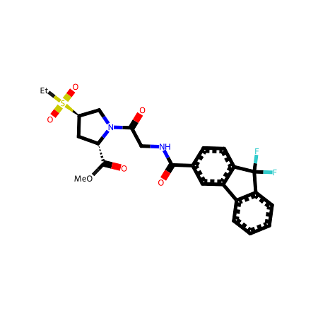 CCS(=O)(=O)[C@@H]1C[C@@H](C(=O)OC)N(C(=O)CNC(=O)c2ccc3c(c2)-c2ccccc2C3(F)F)C1